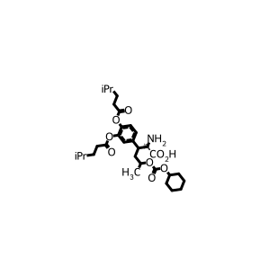 CC(C)CCC(=O)Oc1ccc(C(CC(C)OC(=O)OC2CCCCC2)[C@H](N)C(=O)O)cc1OC(=O)CCC(C)C